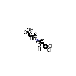 C/C(=N\NC(=O)c1ccc(C(=O)O)s1)c1csc(-c2ccc(Cl)c(Cl)c2)c1O